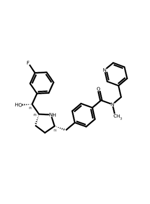 CN(Cc1cccnc1)C(=O)c1ccc(C[C@@H]2CC[C@H]([C@H](O)c3cccc(F)c3)N2)cc1